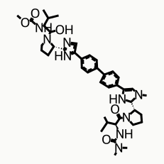 COC(=O)N[C@@H](C(C)C)C(O)N1CCC[C@H]1c1ncc(-c2ccc(-c3ccc(C4=CN(C)C([C@@H]5CCCN5C(=O)[C@@H](NC(=O)N(C)C)C(C)C)N4)cc3)cc2)[nH]1